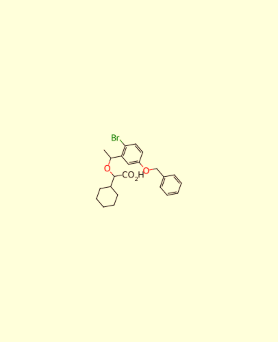 CC(OC(C(=O)O)C1CCCCC1)c1cc(OCc2ccccc2)ccc1Br